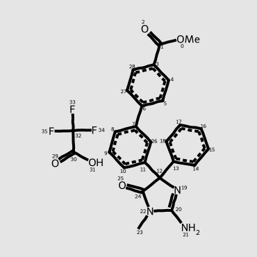 COC(=O)c1ccc(-c2cccc(C3(c4ccccc4)N=C(N)N(C)C3=O)c2)cc1.O=C(O)C(F)(F)F